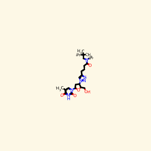 Cc1cn(C2CC(n3cc(CCCC(=O)N(CC(C)(C)C(C)C)C(C)C)nn3)C(CO)O2)c(=O)[nH]c1=O